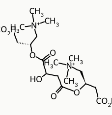 C[N+](C)(C)C[C@@H](CC(=O)O)OC(=O)CC(O)C(=O)O[C@H](CC(=O)O)C[N+](C)(C)C